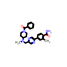 Cc1cc(-c2cnc(CN(C)C3CCN(C(=O)c4ccccc4)CC3)cn2)ccc1C(N)=O